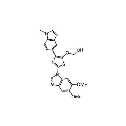 COc1cc2ncn(-c3nc(-c4ccc5c(ccn5C)c4)c(OCO)s3)c2cc1OC